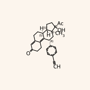 C#Cc1ccc([C@H]2C[C@@]3(C)[C@@H](CC[C@]3(O)C(C)=O)[C@@H]3CCC4=CC(=O)CCC4=C32)cc1